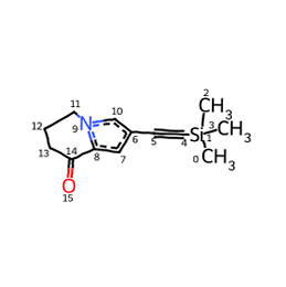 C[Si](C)(C)C#Cc1cc2n(c1)CCCC2=O